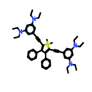 CCN(CC)c1cc(C#CC2=C(c3ccccc3)C(c3ccccc3)=C(C#Cc3cc(N(CC)CC)cc(N(CC)CC)c3)S2(C)C)cc(N(CC)CC)c1